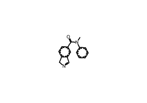 CN(C(=O)c1ccc2c(c1)C=NC2)c1ccccc1